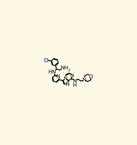 NCC(Nc1cccc(-c2cnc3c(NCCN4CCOCC4)nccn23)n1)c1cccc(Cl)c1